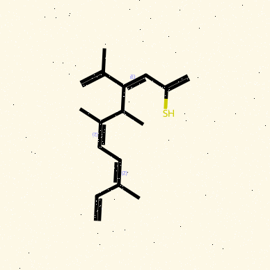 C=C/C(C)=C\C=C(\C)C(C)/C(=C\C(=C)S)C(=C)C